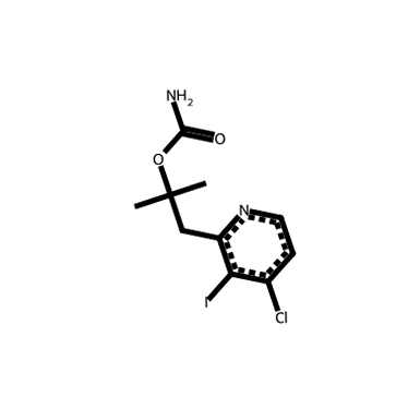 CC(C)(Cc1nccc(Cl)c1I)OC(N)=O